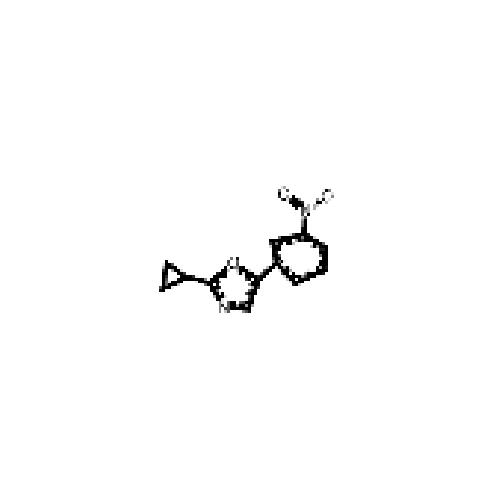 O=[N+]([O-])c1cccc(-c2cnc(C3CC3)o2)c1